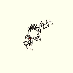 Nc1ncnc2c1ncn2[C@@H]1O[C@@H]2COP(=O)(O)O[C@@H]3[C@H](O)[C@@H](COP(=O)(O)O[C@H]2[C@H]1O)O[C@H]3n1nnc2c([N+](=O)[O-])cccc21